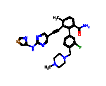 Cc1ccc(C(N)=O)c(-c2ccc(CN3CCN(C)CC3)c(F)c2)c1C#Cc1cnc(Nc2cscn2)nc1